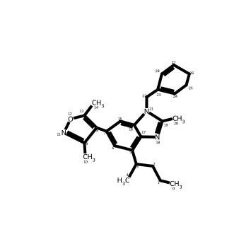 CCCC(C)c1cc(-c2c(C)noc2C)cc2c1nc(C)n2CC1=CCCC=C1